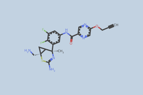 C#CCOc1cnc(C(=O)Nc2cc(F)c(F)c([C@@]3(C)N=C(N)S[C@@]4(CN)CC43)c2)cn1